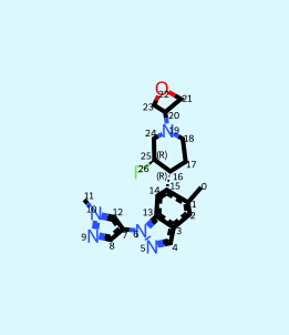 Cc1cc2cnn(-c3cnn(C)c3)c2cc1[C@H]1CCN(C2COC2)C[C@@H]1F